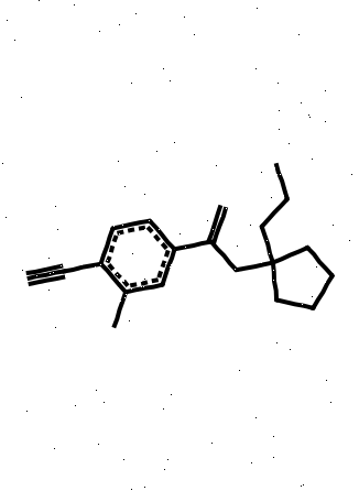 C#Cc1ccc(C(=C)CC2(CCC)CCCC2)cc1C